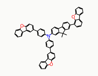 CC1(C)c2cc(-c3cccc4c3oc3ccccc34)ccc2-c2ccc(N(c3ccc(-c4ccc5oc6ccccc6c5c4)cc3)c3ccc(-c4ccc5oc6ccccc6c5c4)cc3)cc21